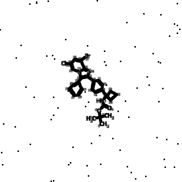 CC(C)(C)OC(=O)NC1(c2ccc(-c3nc4c(Br)cc(Cl)cn4c3-c3ccccc3)cc2)CCC1